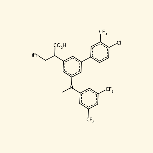 CC(C)CC(C(=O)O)c1cc(-c2ccc(Cl)c(C(F)(F)F)c2)cc(N(C)c2cc(C(F)(F)F)cc(C(F)(F)F)c2)c1